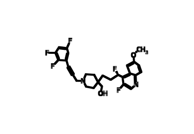 COc1ccc2ncc(F)c([C@H](F)CCC3(CO)CCN(CC#Cc4cc(F)cc(F)c4F)CC3)c2c1